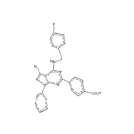 CCc1nn(-c2ccccc2)c2nc(-c3ccc(C(=O)O)cc3)nc(NCc3ccc(F)cc3)c12